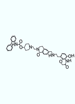 O=C1COc2c(CCNCc3ccc4c(c3)CCN(CCN3CCC(OC(=O)Nc5ccccc5-c5ccccc5)CC3)C4=O)ccc(O)c2N1